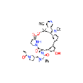 C=CC(=O)N1CC[C@H](CN(C)[C@H](C(=O)N2C[C@@]23Cc2cc(O)cc(c2)-c2ccc4c(c2)c(c(-c2cncc(C#N)c2)n4CC)CC(C)(C)COC(=O)[C@@H]2CCCN(N2)C3=O)C(C)C)C1